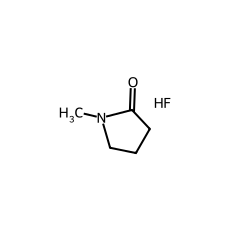 CN1CCCC1=O.F